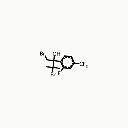 CC(C)(Br)C(O)(CBr)c1ccc(C(F)(F)F)cc1F